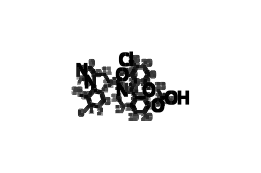 Cc1cccc(-n2cncc2CCC(=O)N2CCc3ccccc3C2c2cc(Cl)ccc2OCC(=O)O)c1C